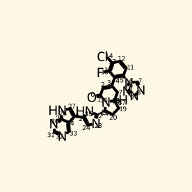 O=C1C=C(c2c(-n3cnnn3)ccc(Cl)c2F)C[C@@H]2CC[C@@H](c3ncc(-c4c[nH]c5ncncc45)[nH]3)N12